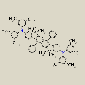 Cc1cc(C)cc(N(c2cc(C)cc(C)c2)c2ccc3c(c2)C(C)(C)c2cc4c(-c5ccccc5)c5c(cc4c(-c4ccccc4)c2-3)C(C)(C)c2cc(N(c3cc(C)cc(C)c3)c3cc(C)cc(C)c3)ccc2-5)c1